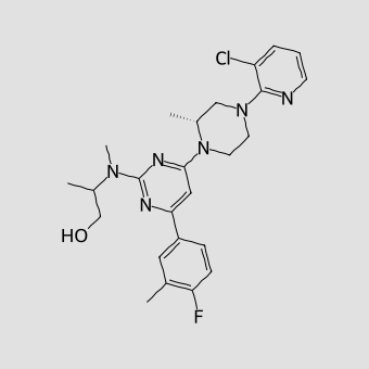 Cc1cc(-c2cc(N3CCN(c4ncccc4Cl)C[C@H]3C)nc(N(C)C(C)CO)n2)ccc1F